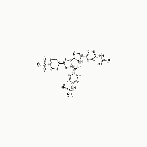 CS(=O)(=O)N1CCC(C2CC(c3ncc(-c4ccc(NC(=O)O)cc4)[nH]3)N(C(=O)c3ccc(NC(=N)N)cc3)C2)CC1